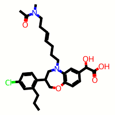 CCCc1cc(Cl)ccc1C1COc2ccc(C(O)C(=O)O)cc2N(CCC/C=C/CCN(C)C(C)=O)C1